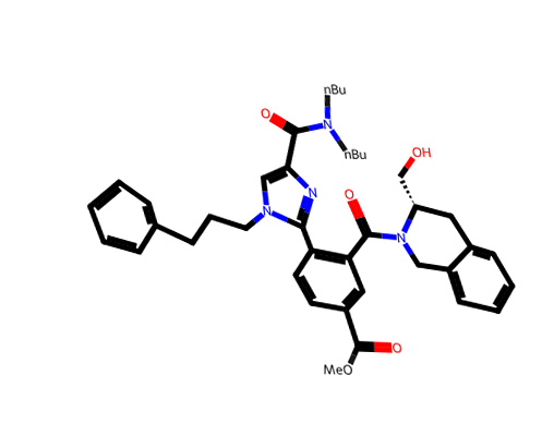 CCCCN(CCCC)C(=O)c1cn(CCCc2ccccc2)c(-c2ccc(C(=O)OC)cc2C(=O)N2Cc3ccccc3C[C@H]2CO)n1